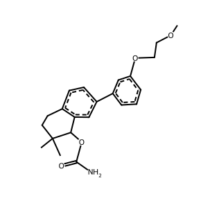 COCCOc1cccc(-c2ccc3c(c2)C(OC(N)=O)C(C)(C)CC3)c1